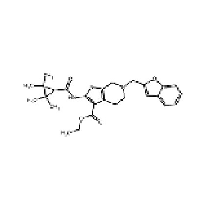 CCOC(=O)c1c(NC(=O)C2C(C)(C)C2(C)C)sc2c1CCN(Cc1cc3ccccc3o1)C2